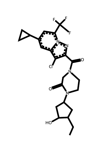 CCC1CC(N2CCN(C(=O)c3nn4c(C(F)(F)F)cc(C5CC5)cc4c3Cl)CC2=O)CC1O